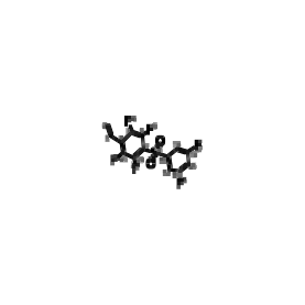 C=Cc1c(F)c(F)c(S(=O)(=O)c2cc(F)cc(F)c2)c(F)c1F